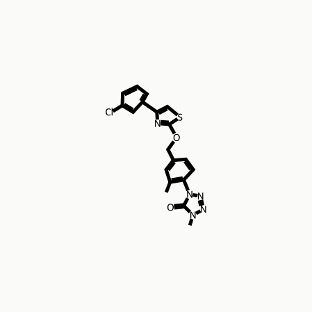 Cc1cc(COc2nc(-c3cccc(Cl)c3)cs2)ccc1-n1nnn(C)c1=O